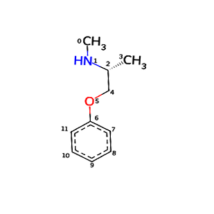 CN[C@H](C)COc1ccccc1